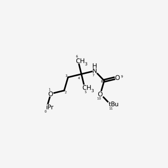 CC(C)OCCC(C)(C)NC(=O)OC(C)(C)C